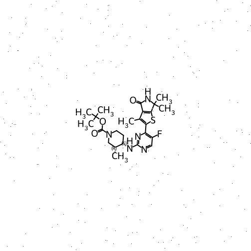 Cc1c(-c2nc(N[C@H]3CCN(C(=O)OC(C)(C)C)C[C@H]3C)ncc2F)sc2c1C(=O)NC2(C)C